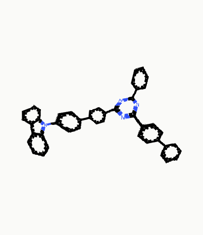 c1ccc(-c2ccc(-c3nc(-c4ccccc4)nc(-c4ccc(-c5ccc(-n6c7ccccc7c7ccccc76)cc5)cc4)n3)cc2)cc1